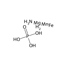 N.O=P(O)(O)O.[Fe].[MgH2].[Mn]